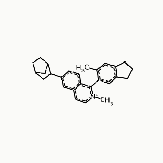 Cc1cc2c(cc1-c1c3ccc(C4CC5CCC4C5)cc3cc[n+]1C)CCC2